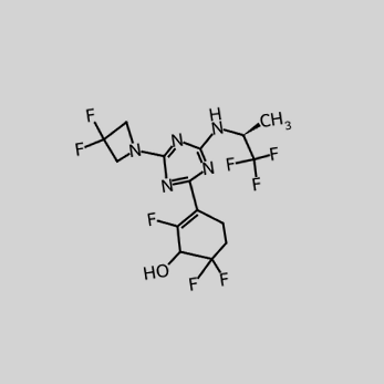 C[C@H](Nc1nc(C2=C(F)C(O)C(F)(F)CC2)nc(N2CC(F)(F)C2)n1)C(F)(F)F